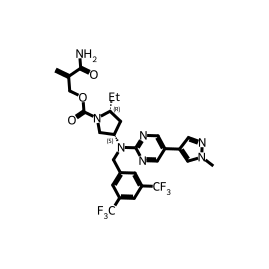 C=C(COC(=O)N1C[C@@H](N(Cc2cc(C(F)(F)F)cc(C(F)(F)F)c2)c2ncc(-c3cnn(C)c3)cn2)C[C@H]1CC)C(N)=O